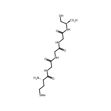 CSCC[C@H](N)C(=O)NCC(=O)NCC(=O)NCC(=O)N[C@@H](CO)C(=O)O